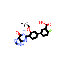 CCOc1cc(-c2ccc(F)c(C(=O)O)c2)ccc1-c1nc2[nH]cnc2c(=O)[nH]1